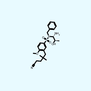 COc1ccc(S(=O)(=O)N(Cc2ccccc2)[C@H](N)[C@@H](C)O)cc1CC(C)(C)CCC#N